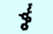 Cc1cc(NCCO)n2ncc(-c3ccncc3)c2n1